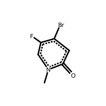 Cn1cc(F)c(Br)cc1=O